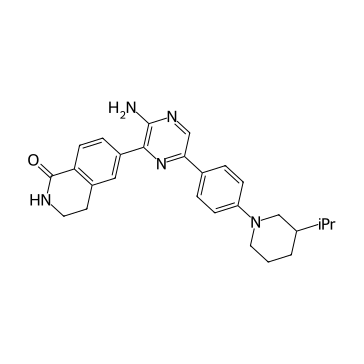 CC(C)C1CCCN(c2ccc(-c3cnc(N)c(-c4ccc5c(c4)CCNC5=O)n3)cc2)C1